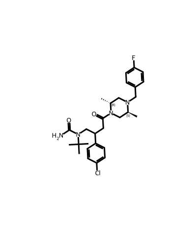 C[C@@H]1CN(Cc2ccc(F)cc2)[C@@H](C)CN1C(=O)CC(CN(C(N)=O)C(C)(C)C)c1ccc(Cl)cc1